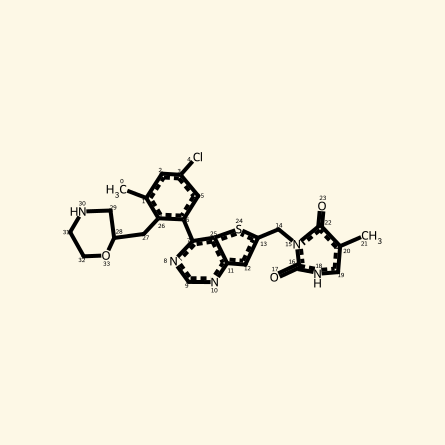 Cc1cc(Cl)cc(-c2ncnc3cc(Cn4c(=O)[nH]cc(C)c4=O)sc23)c1CC1CNCCO1